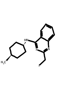 C[C@H]1CC[C@H](Nc2nc(CI)nc3ccccc23)CC1